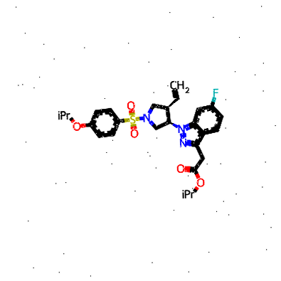 C=C[C@@H]1CN(S(=O)(=O)c2ccc(OC(C)C)cc2)C[C@@H]1n1nc(CC(=O)OC(C)C)c2ccc(F)cc21